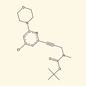 CN(CC#Cc1cc(Cl)cc(N2CCOCC2)n1)C(=O)OC(C)(C)C